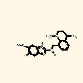 COc1cc2[nH]c([S+]([O-])Cc3cccc4c3N(C)CCC4C)nc2cc1F